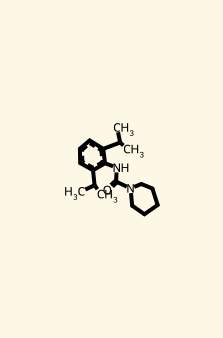 CC(C)c1cccc(C(C)C)c1NC(=O)N1CCCCC1